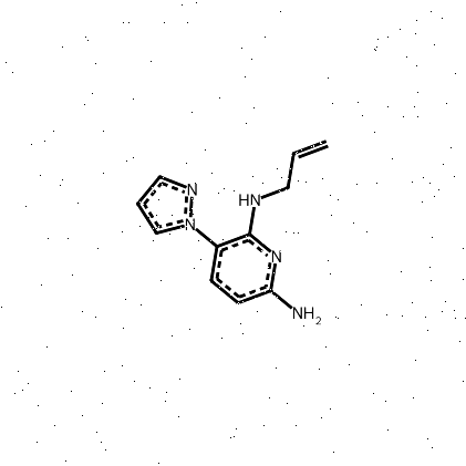 C=CCNc1nc(N)ccc1-n1cccn1